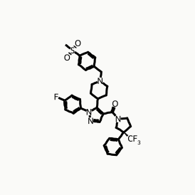 CS(=O)(=O)c1ccc(CN2CCC(c3c(C(=O)N4CC[C@@](c5ccccc5)(C(F)(F)F)C4)cnn3-c3ccc(F)cc3)CC2)cc1